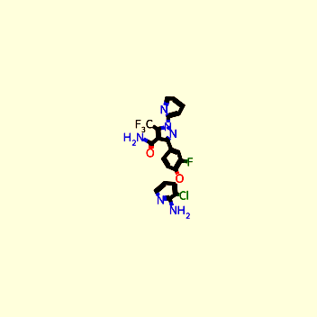 NC(=O)c1c(-c2ccc(Oc3ccnc(N)c3Cl)c(F)c2)nn(-c2ccccn2)c1C(F)(F)F